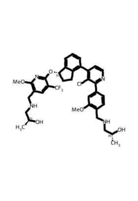 COc1cc(-c2nccc(-c3cccc4c3CC[C@@H]4Oc3nc(OC)c(CNC[C@H](C)O)cc3C(F)(F)F)c2Cl)ccc1CNC[C@@H](C)O